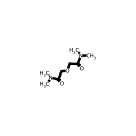 CN(C)C(=O)COCC(=O)N(C)C